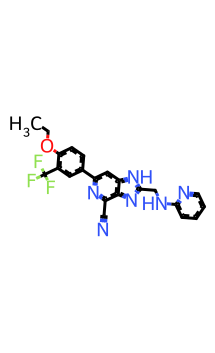 CCOc1ccc(-c2cc3[nH]c(CNc4ccccn4)nc3c(C#N)n2)cc1C(F)(F)F